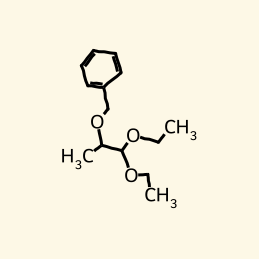 CCOC(OCC)C(C)OCc1ccccc1